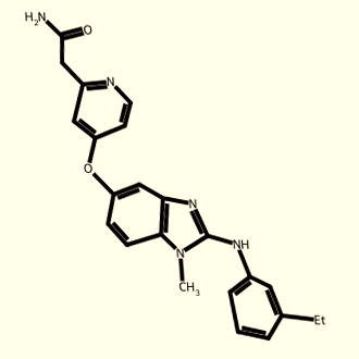 CCc1cccc(Nc2nc3cc(Oc4ccnc(CC(N)=O)c4)ccc3n2C)c1